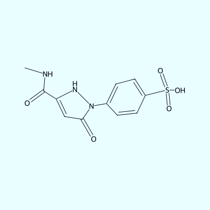 CNC(=O)c1cc(=O)n(-c2ccc(S(=O)(=O)O)cc2)[nH]1